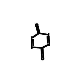 O=C1I=IC(=O)I=I1